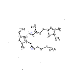 B=C[C@@H]1CC(O)[C@H](C/C=C\CCCC(=O)O)[C@H]1/C=C/[C@@H](O)CCc1cc(Br)c(C)o1